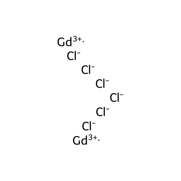 [Cl-].[Cl-].[Cl-].[Cl-].[Cl-].[Cl-].[Gd+3].[Gd+3]